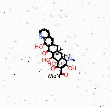 CNC(=O)C1=C(O)[C@@H](N(C)C)[C@@H]2C[C@@H]3Cc4cc5cccnc5c(O)c4C(=O)C3=C(O)[C@]2(O)C1=O